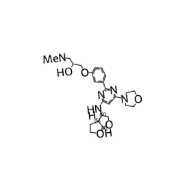 CNCC(O)COc1cccc(-c2nc(N[C@H]3CO[C@H]4OCC[C@H]43)cc(N3CCOCC3)n2)c1